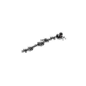 CC(C)(Cc1nnn[nH]1)CC(C)(C)C(=O)NS(=O)(=O)CCCC(=O)NCCOCCOCC(=O)NC(CCC(=O)NC(CCC(=O)NCCOCCOCC(=O)NC(CCCCNC(=O)CBr)C(=O)O)C(=O)O)C(=O)O